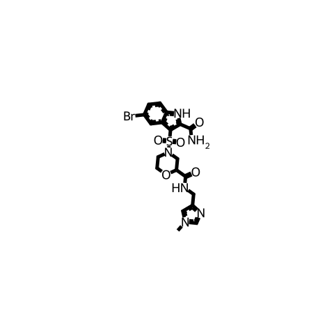 Cn1cnc(CNC(=O)C2CN(S(=O)(=O)c3c(C(N)=O)[nH]c4ccc(Br)cc34)CCO2)c1